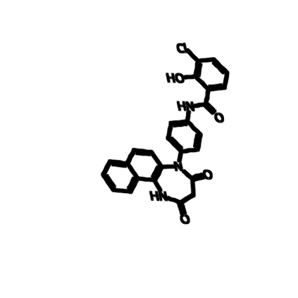 O=C1CC(=O)N(c2ccc(NC(=O)c3cccc(Cl)c3O)cc2)c2ccc3ccccc3c2N1